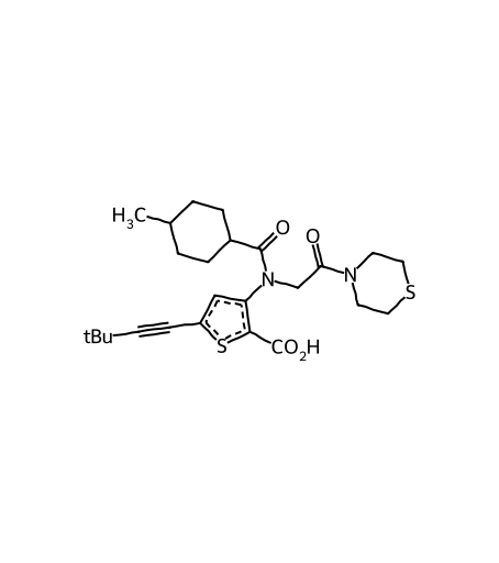 CC1CCC(C(=O)N(CC(=O)N2CCSCC2)c2cc(C#CC(C)(C)C)sc2C(=O)O)CC1